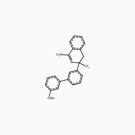 COc1cccc(-c2cccc(C3(C(F)(F)F)Cc4ccccc4C(N)=N3)c2)c1